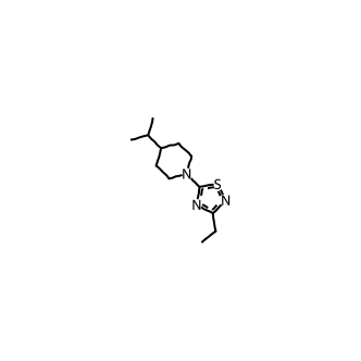 CCc1nsc(N2CCC(C(C)C)CC2)n1